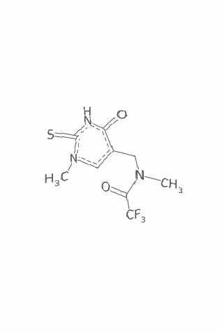 CN(Cc1cn(C)c(=S)[nH]c1=O)C(=O)C(F)(F)F